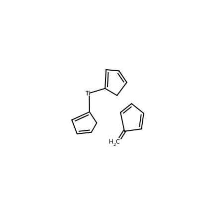 C1=CC[C]([Ti][C]2=CC=CC2)=C1.C=C1C=CC=C1